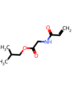 C=CC(=O)NCC(=O)OCC(C)C